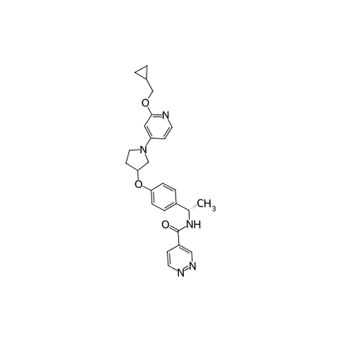 C[C@H](NC(=O)c1ccnnc1)c1ccc(OC2CCN(c3ccnc(OCC4CC4)c3)C2)cc1